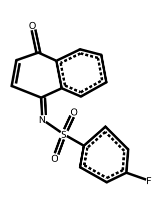 O=C1C=C/C(=N/S(=O)(=O)c2ccc(F)cc2)c2ccccc21